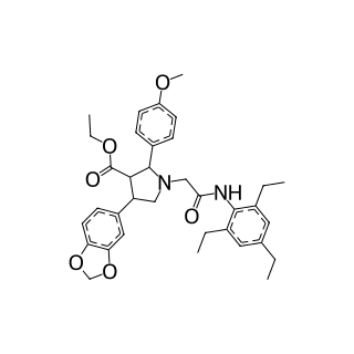 CCOC(=O)C1C(c2ccc3c(c2)OCO3)CN(CC(=O)Nc2c(CC)cc(CC)cc2CC)C1c1ccc(OC)cc1